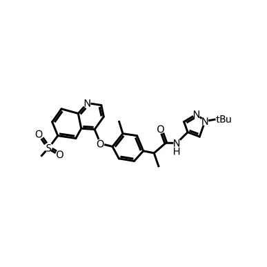 Cc1cc(C(C)C(=O)Nc2cnn(C(C)(C)C)c2)ccc1Oc1ccnc2ccc(S(C)(=O)=O)cc12